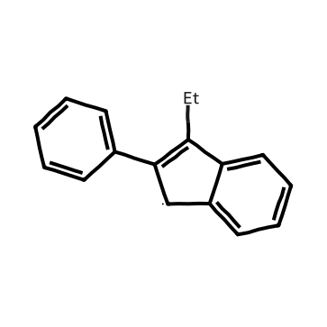 CCC1=C(c2ccccc2)[CH]c2ccccc21